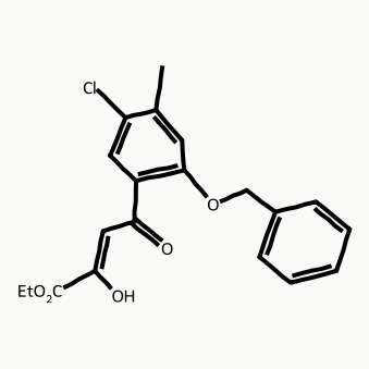 CCOC(=O)/C(O)=C/C(=O)c1cc(Cl)c(C)cc1OCc1ccccc1